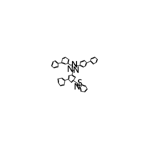 c1ccc(-c2ccc(-c3nc(-c4cccc(-c5ccccc5)c4)nc(-c4cc(-c5ccccc5)cc(-c5nc6ccccc6s5)c4)n3)cc2)cc1